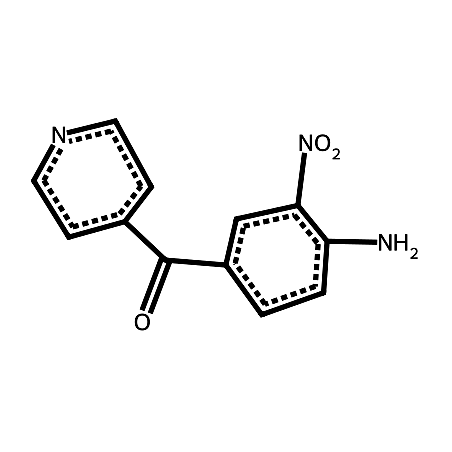 Nc1ccc(C(=O)c2ccncc2)cc1[N+](=O)[O-]